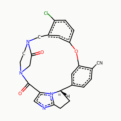 N#Cc1ccc2cc1Oc1ccc(Cl)c(c1)CN1CCN(CC1=O)C(=O)c1cnc3n1[C@H]2CC3